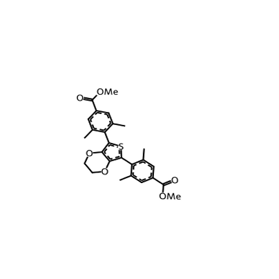 COC(=O)c1cc(C)c(-c2sc(-c3c(C)cc(C(=O)OC)cc3C)c3c2OCCO3)c(C)c1